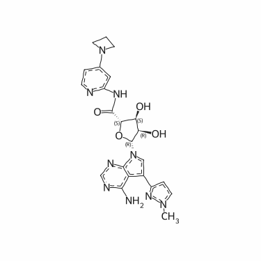 Cn1ccc(-c2cn([C@@H]3O[C@H](C(=O)Nc4cc(N5CCC5)ccn4)[C@@H](O)[C@H]3O)c3ncnc(N)c23)n1